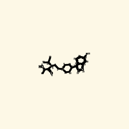 CC(O)C(=O)N(CCN1CCC(c2noc3cc(F)ccc23)CC1)C(C)C